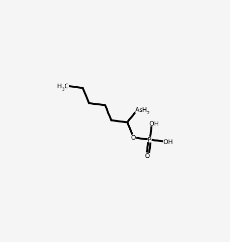 CCCCCC([AsH2])OP(=O)(O)O